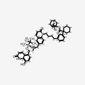 CC(C)(C)[Si](C)(C)O[C@H](CNCc1ccc2c(ccc(=O)n2CCCCc2cccc(C3(C(=O)O[C@H]4CN5CCC4CC5)CCCCC3)c2)c1)c1ccc(O)c2[nH]c(=O)ccc12